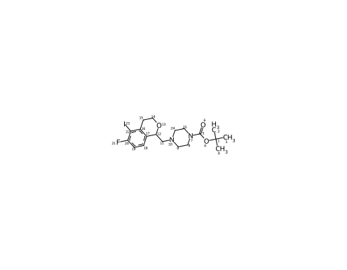 CC(C)(C)OC(=O)N1CCN(CC2OCCc3c2ccc(F)c3I)CC1